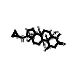 CN1C(=O)CC(F)[C@]2(C)[C@H]3CC[C@]4(C)[C@@H](NC5CC5)CC[C@H]4[C@@H]3CC[C@@H]12